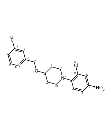 O=[N+]([O-])c1ccc(N2CCC(OCc3cc(Cl)ccn3)CC2)c(Cl)c1